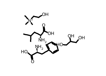 CC(C)C[C@H](N)C(=O)O.C[N+](C)(C)CCO.N[C@@H](Cc1ccccc1)C(=O)O.OCC(O)CO